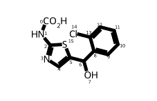 O=C(O)Nc1ncc(C(O)c2ccccc2Cl)s1